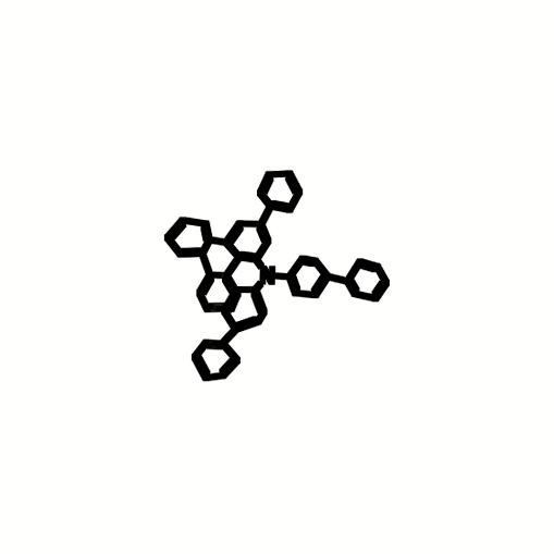 c1ccc(-c2ccc(N(c3ccc(-c4ccccc4)cc3)c3cc(-c4ccccc4)cc4c5ccccc5c5ccccc5c34)cc2)cc1